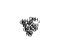 COc1cccc2c1C(=O)c1c(O)c3c(c(O)c1C2=O)C[C@@](O)(C(=O)CO)C[C@@H]3O[C@H]1C[C@H](N)[C@H](O)[C@H](C)O1.Cn1c(COC(=O)Nc2ccc(COC(N)=O)cc2)cnc1[N+](=O)[O-]